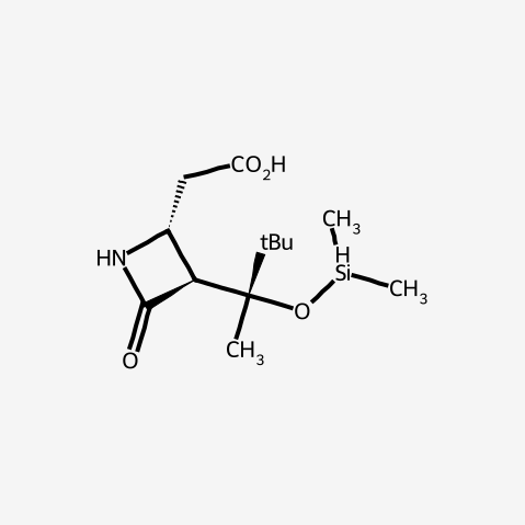 C[SiH](C)O[C@](C)([C@H]1C(=O)N[C@@H]1CC(=O)O)C(C)(C)C